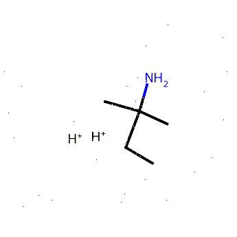 CCC(C)(C)N.[H+].[H+]